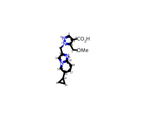 COCc1c(C(=O)O)cnn1Cc1cn2cc(C3CC3)ccc2n1